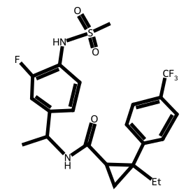 CCC1(c2ccc(C(F)(F)F)cc2)CC1C(=O)NC(C)c1ccc(NS(C)(=O)=O)c(F)c1